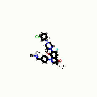 CCN(CC)Cc1ccc(-n2cc(C(=O)O)c(=O)c3cc(F)c(N4CCN(c5cccc(Cl)c5)CC4)c(OC(F)(F)F)c32)cc1